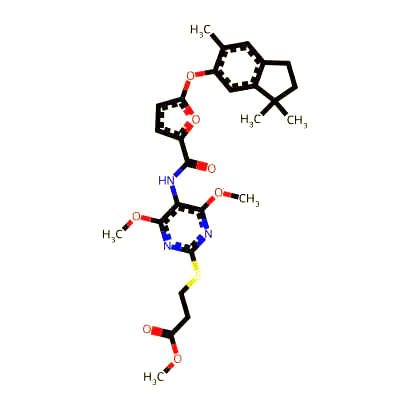 COC(=O)CCSc1nc(OC)c(NC(=O)c2ccc(Oc3cc4c(cc3C)CCC4(C)C)o2)c(OC)n1